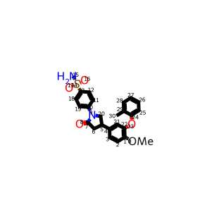 COc1ccc(C2CC(=O)N(c3ccc(S(N)(=O)=O)cc3)C2)cc1Oc1ccccc1C